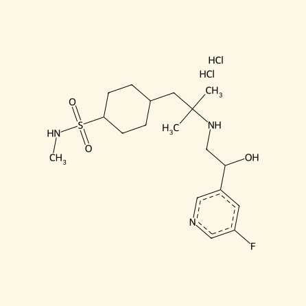 CNS(=O)(=O)C1CCC(CC(C)(C)NCC(O)c2cncc(F)c2)CC1.Cl.Cl